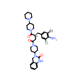 CCc1cc(C[C@@H](CC(=O)N2CCC(N3Cc4ccccc4NC3=O)CC2)C(=O)N2CCC(N3CCCCC3)CC2)cc(Cl)c1N